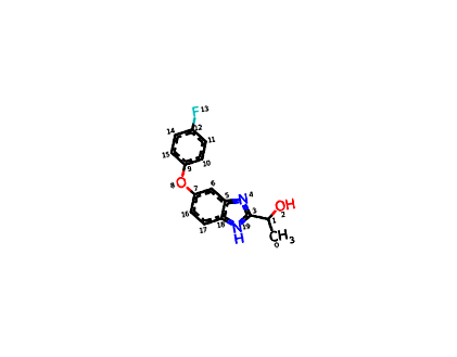 CC(O)c1nc2cc(Oc3ccc(F)cc3)ccc2[nH]1